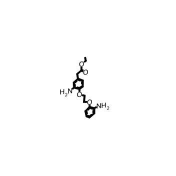 CCOC(=O)Cc1ccc(OCCOc2ccccc2N)c(N)c1